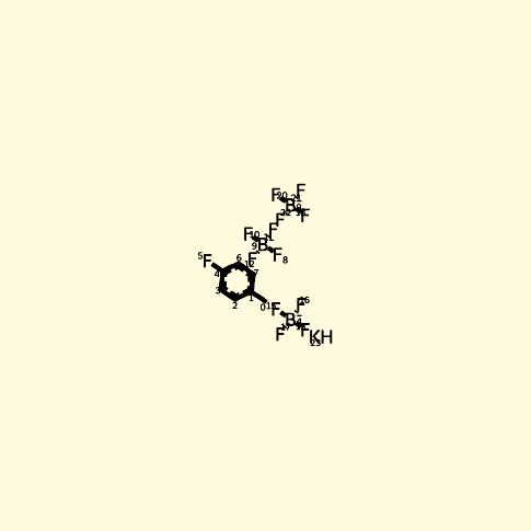 Cc1ccc(F)cc1.F[B-](F)(F)F.F[B-](F)(F)F.F[B-](F)(F)F.[KH]